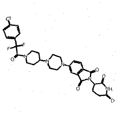 O=C1CCC(N2C(=O)c3ccc(N4CCN(C5CCN(C(=O)C(F)(F)c6ccc(Cl)cc6)CC5)CC4)cc3C2=O)C(=O)N1